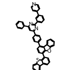 c1ccc(-c2cc(-c3ccc(-c4ccc(-c5cccc6c5sc5ccccc56)c5oc6ccccc6c45)cc3)nc(-c3cccc(-c4ccncc4)c3)n2)cc1